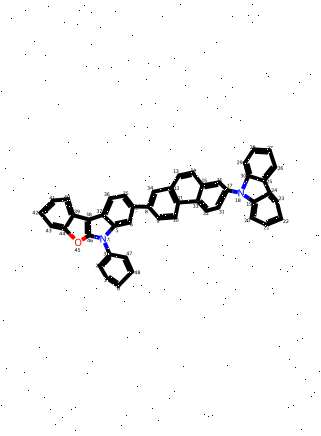 c1ccc(-n2c3cc(-c4ccc5c(ccc6cc(-n7c8ccccc8c8ccccc87)ccc65)c4)ccc3c3c4ccccc4oc32)cc1